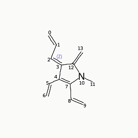 C=C/C=c1/c(C=C)c(C=C)n(C)c1=C